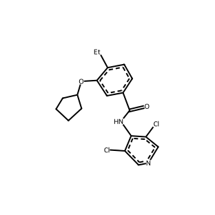 CCc1ccc(C(=O)Nc2c(Cl)cncc2Cl)cc1OC1CCCC1